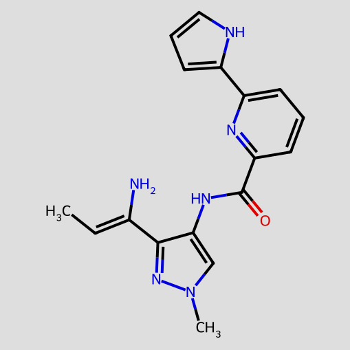 C/C=C(\N)c1nn(C)cc1NC(=O)c1cccc(-c2ccc[nH]2)n1